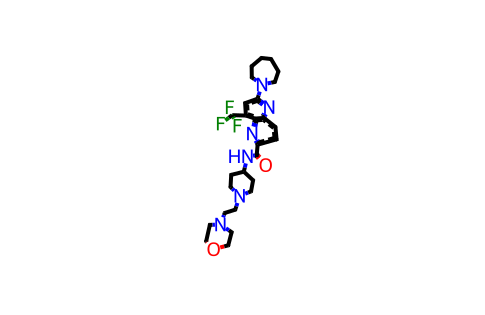 O=C(NC1CCN(CCN2CCOCC2)CC1)c1ccc2nc(N3CCCCCC3)cc(C(F)(F)F)c2n1